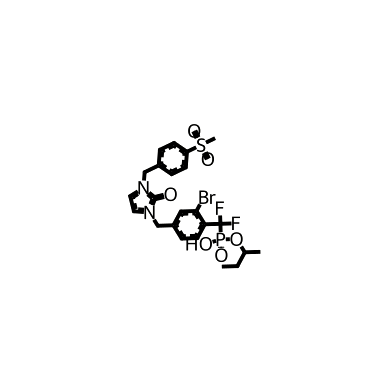 CCC(C)OP(=O)(O)C(F)(F)c1ccc(Cn2ccn(Cc3ccc(S(C)(=O)=O)cc3)c2=O)cc1Br